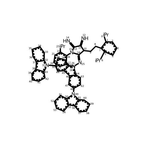 CC(C)c1cccc(C(C)C)c1CCC1C(=N)C(=N)N(c2c(C(C)C)cccc2C(C)C)/C1=N\n1c2ccc(-n3c4ccccc4c4ccccc43)cc2c2cc(-n3c4ccccc4c4ccccc43)ccc21